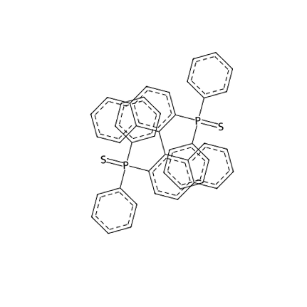 S=P(c1ccccc1)(c1ccccc1)c1ccc2ccccc2c1-c1c(P(=S)(c2ccccc2)c2ccccc2)ccc2ccccc12